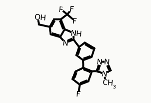 Cn1cnnc1-c1cc(F)ccc1-c1cccc(-c2nc3cc(CO)cc(C(F)(F)F)c3[nH]2)c1